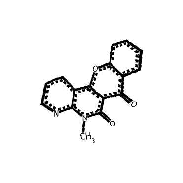 Cn1c(=O)c2c(=O)c3ccccc3oc2c2cccnc21